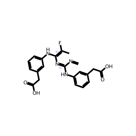 C=N/C(=N\C(Nc1cccc(CC(=O)O)c1)=C(/C)F)Nc1cccc(CC(=O)O)c1